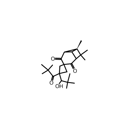 CC(C)(C)C(=O)C1(C(O)C(C)(C)C)CC2(C1)C(=O)C1C3C(C2=O)[C@]3(C)C1(C)C